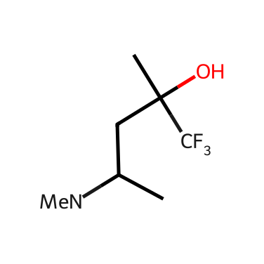 CNC(C)CC(C)(O)C(F)(F)F